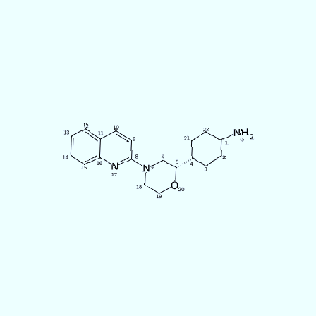 NC1CCC([C@H]2CN(c3ccc4ccccc4n3)CCO2)CC1